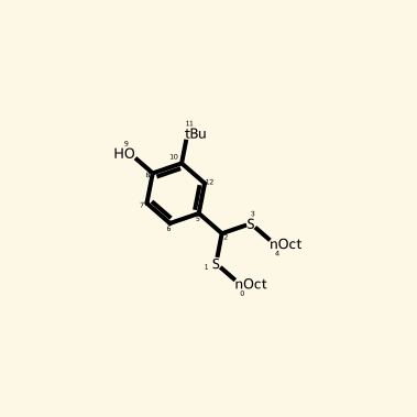 CCCCCCCCSC(SCCCCCCCC)c1ccc(O)c(C(C)(C)C)c1